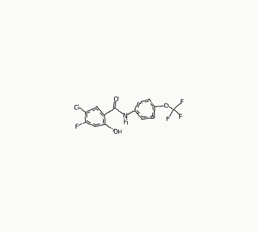 O=C(Nc1ccc(OC(F)(F)F)cc1)c1cc(Cl)c(F)cc1O